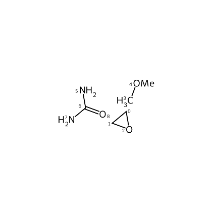 C1CO1.COC.NC(N)=O